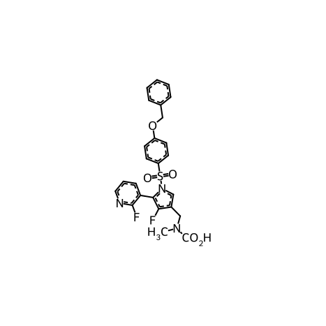 CN(Cc1cn(S(=O)(=O)c2ccc(OCc3ccccc3)cc2)c(-c2cccnc2F)c1F)C(=O)O